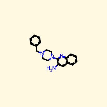 Nc1cc2ccccc2nc1N1CCN(Cc2ccccc2)CC1